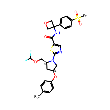 CCS(=O)(=O)c1ccc(C2(NC(=O)c3cnc(N4C[C@@H](Oc5ccc(C(F)(F)F)cc5)C[C@H]4COC(F)F)s3)COC2)cc1